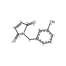 N#Cc1cccc(CN2C(=O)C=CC2=O)c1